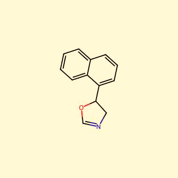 C1=NCC(c2cccc3ccccc23)O1